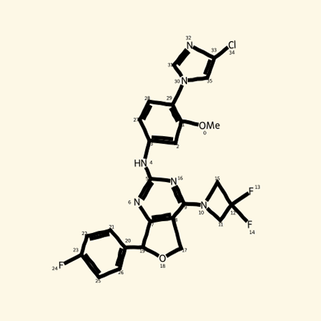 COc1cc(Nc2nc3c(c(N4CC(F)(F)C4)n2)COC3c2ccc(F)cc2)ccc1-n1cnc(Cl)c1